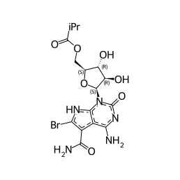 CC(C)C(=O)OC[C@@H]1O[C@H](n2c(=O)nc(N)c3c(C(N)=O)c(Br)[nH]c32)[C@H](O)[C@H]1O